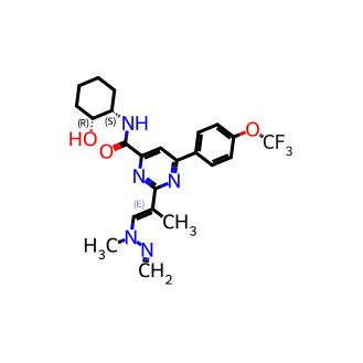 C=NN(C)/C=C(\C)c1nc(C(=O)N[C@H]2CCCC[C@H]2O)cc(-c2ccc(OC(F)(F)F)cc2)n1